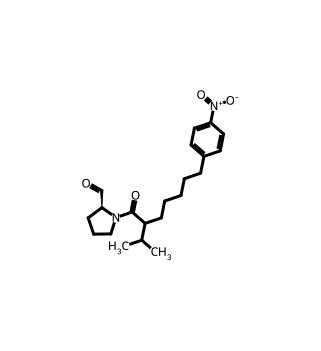 CC(C)C(CCCCCc1ccc([N+](=O)[O-])cc1)C(=O)N1CCC[C@H]1C=O